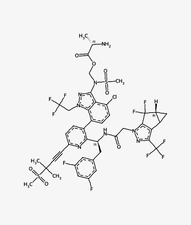 C[C@H](N)C(=O)OCN(c1nn(CC(F)(F)F)c2c(-c3ccc(C#CC(C)(C)S(C)(=O)=O)nc3[C@H](Cc3cc(F)cc(F)c3)NC(=O)Cn3nc(C(F)(F)F)c4c3C(F)(F)[C@@H]3CC43)ccc(Cl)c12)S(C)(=O)=O